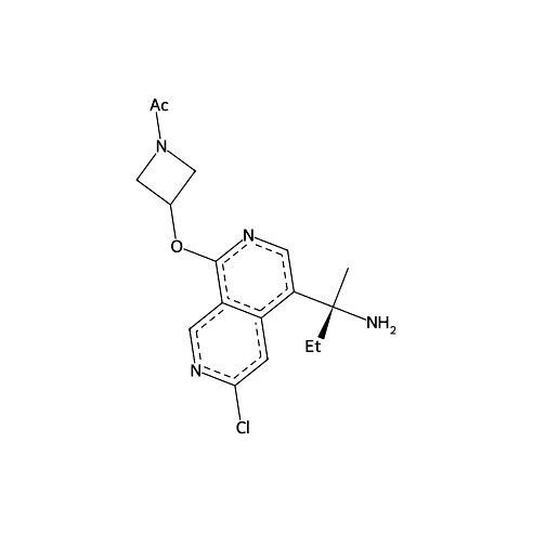 CC[C@@](C)(N)c1cnc(OC2CN(C(C)=O)C2)c2cnc(Cl)cc12